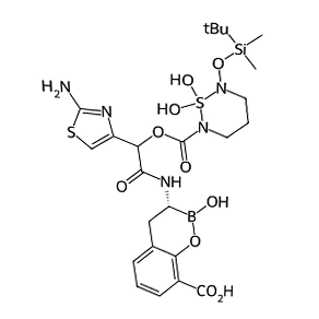 CC(C)(C)[Si](C)(C)ON1CCCN(C(=O)OC(C(=O)N[C@H]2Cc3cccc(C(=O)O)c3OB2O)c2csc(N)n2)S1(O)O